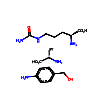 CC(C)[C@H](N)C(=O)O.NC(=O)NCCC[C@H](N)C(=O)O.Nc1ccc(CO)cc1